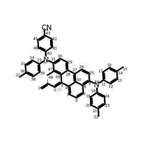 C=C/C=c1/c2cccc3c(N(c4ccc(C)cc4)c4ccc(C)cc4)ccc(c4ccc(N(c5ccc(C)cc5)c5ccc(C#N)cc5)c(C)c14)c32